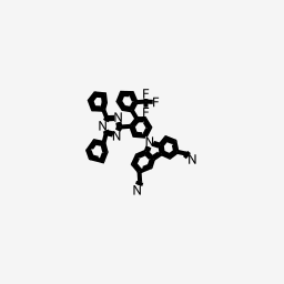 N#Cc1ccc2c(c1)c1cc(C#N)ccc1n2-c1ccc(-c2ccccc2C(F)(F)F)c(-c2nc(-c3ccccc3)nc(-c3ccccc3)n2)c1